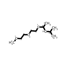 COCCOCCOC(C)OC(C)C